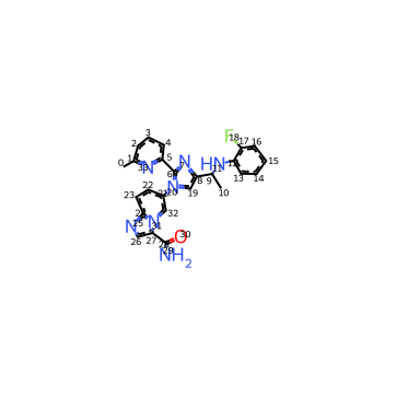 Cc1cccc(-c2nc(C(C)Nc3ccccc3F)cn2-c2ccc3ncc(C(N)=O)n3c2)n1